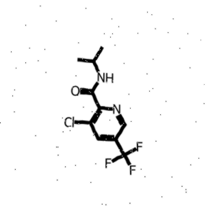 CC(C)NC(=O)c1ncc(C(F)(F)F)cc1Cl